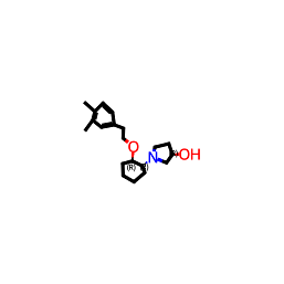 Cc1ccc(CCO[C@@H]2CCCC[C@H]2N2CC[C@@H](O)C2)cc1C